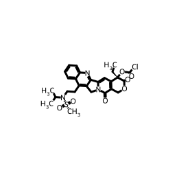 CC[C@@]1(OC(=O)Cl)C(=O)OCc2c1cc1n(c2=O)Cc2c-1nc1ccccc1c2CCN(C(C)C)S(C)(=O)=O